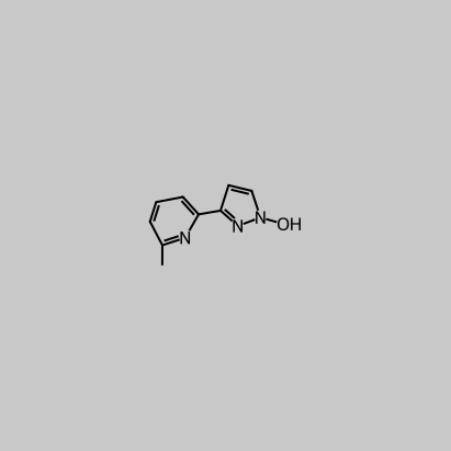 Cc1cccc(-c2ccn(O)n2)n1